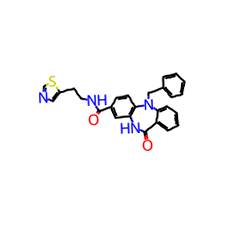 O=C(NCCc1cncs1)c1ccc2c(c1)NC(=O)c1ccccc1N2Cc1ccccc1